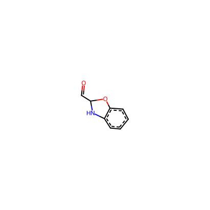 O=CC1Nc2ccccc2O1